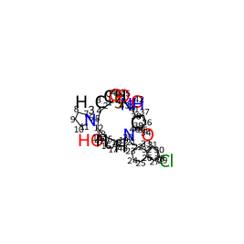 C[C@@H]1[C@@H](C)C[C@H](N2CCCCC2)C[C@H](O)[C@@H]2CC[C@H]2CN2C[C@@]3(CCCc4cc(Cl)ccc43)COc3ccc(cc32)C(=O)NS1(=O)=O